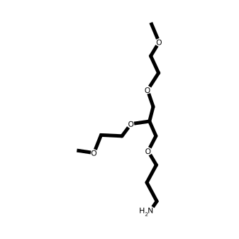 COCCOCC(COCCCN)OCCOC